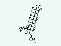 C=CCC(F)(C(F)(F)C(F)(F)C(F)(F)C(F)(F)C(F)(F)C(F)(F)C(F)(F)F)S(=O)(=O)NF